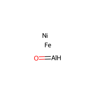 [Fe].[Ni].[O]=[AlH]